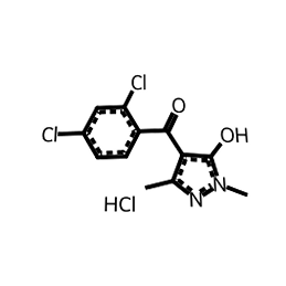 Cc1nn(C)c(O)c1C(=O)c1ccc(Cl)cc1Cl.Cl